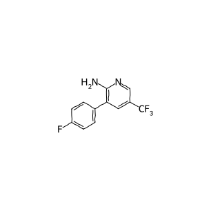 Nc1ncc(C(F)(F)F)cc1-c1ccc(F)cc1